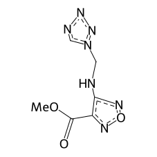 COC(=O)c1nonc1NCn1cnnn1